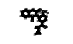 Cc1ccc(C(=O)NC2CC2)cc1N1C(=O)Cc2ccccc2C1=O